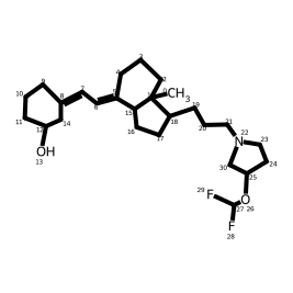 CC12CCC/C(=C\C=C3\CCCC(O)C3)C1CCC2CCCN1CCC(OC(F)F)C1